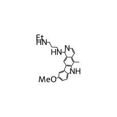 CCNCCCNc1nccc2c(C)c3[nH]c4ccc(OC)cc4c3cc12